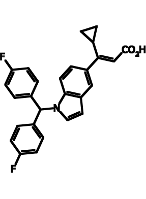 O=C(O)C=C(c1ccc2c(ccn2C(c2ccc(F)cc2)c2ccc(F)cc2)c1)C1CC1